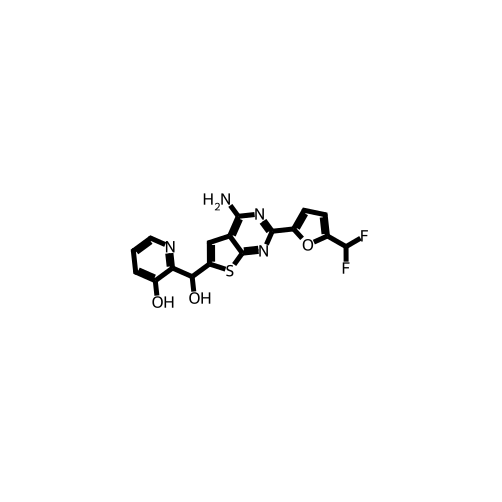 Nc1nc(-c2ccc(C(F)F)o2)nc2sc(C(O)c3ncccc3O)cc12